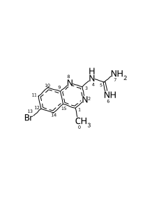 Cc1nc(NC(=N)N)nc2ccc(Br)cc12